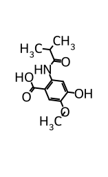 COc1cc(C(=O)O)c(NC(=O)C(C)C)cc1O